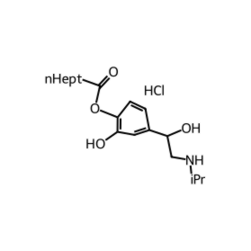 CCCCCCCC(=O)Oc1ccc(C(O)CNC(C)C)cc1O.Cl